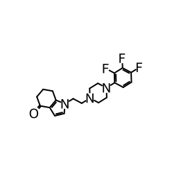 O=C1CCCc2c1ccn2CCN1CCN(c2ccc(F)c(F)c2F)CC1